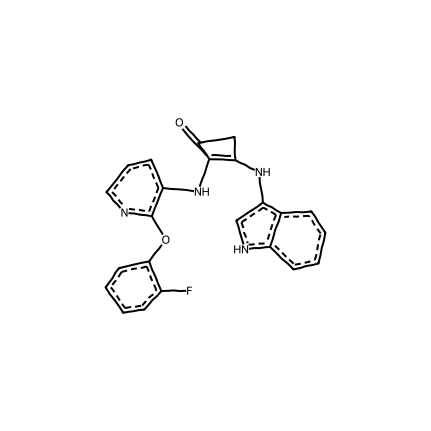 O=C1CC(Nc2c[nH]c3ccccc23)=C1Nc1cccnc1Oc1ccccc1F